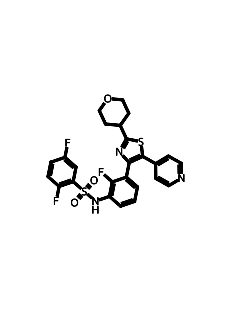 O=S(=O)(Nc1cccc(-c2nc(C3CCOCC3)sc2-c2ccncc2)c1F)c1cc(F)ccc1F